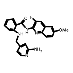 COc1ccc2nc(NC(=O)c3ccccc3NCc3ccnc(N)c3)c(F)cc2c1